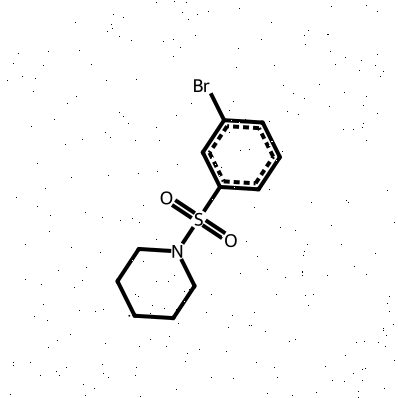 O=S(=O)(c1cccc(Br)c1)N1CC[CH]CC1